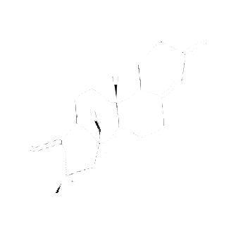 C[C@@H]1C[C@H]2[C@@H]3CCC4=CC(=O)CC[C@]4(C)[C@H]3[C@@H](O)C[C@]2(C)C1=O